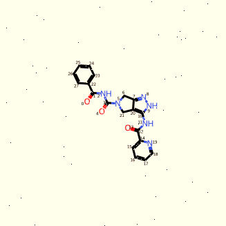 O=C(NC(=O)N1Cc2n[nH]c(NC(=O)c3ccccn3)c2C1)c1ccccc1